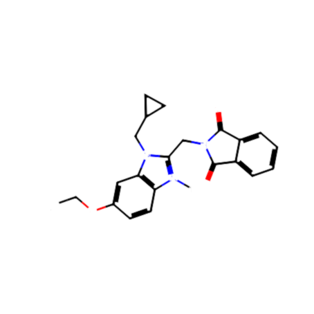 CC[n+]1c(CN2C(=O)c3ccccc3C2=O)n(CC2CC2)c2cc(OCC(=O)O)ccc21